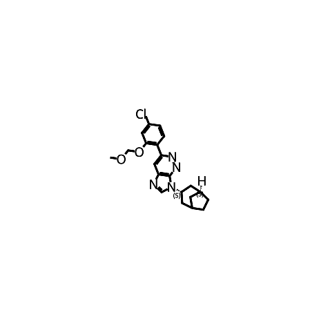 COCOc1cc(Cl)ccc1-c1cc2ncn([C@H]3CC4CC[C@@H](C4)C3)c2nn1